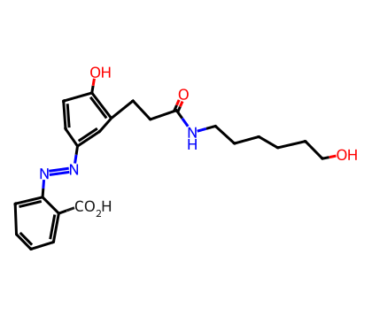 O=C(CCc1cc(/N=N/c2ccccc2C(=O)O)ccc1O)NCCCCCCO